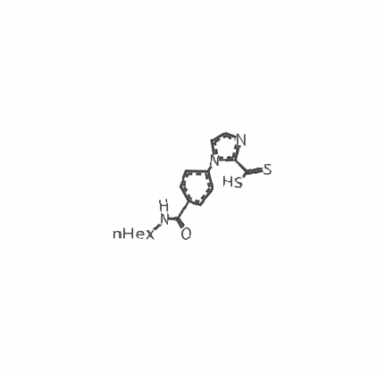 CCCCCCNC(=O)c1ccc(-n2ccnc2C(=S)S)cc1